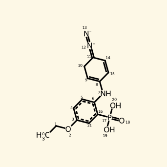 CCOc1ccc(NC2=CCC(=[N+]=[N-])C=C2)c(P(=O)(O)O)c1